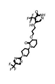 O=C1[C@H](OCCCNc2cn[nH]c(=O)c2C(F)(F)F)CCCN1C1CCN(c2ncc(C(F)(F)F)cn2)CC1